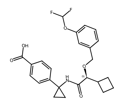 O=C(O)c1ccc(C2(NC(=O)[C@@H](OCc3cccc(OC(F)F)c3)C3CCC3)CC2)cc1